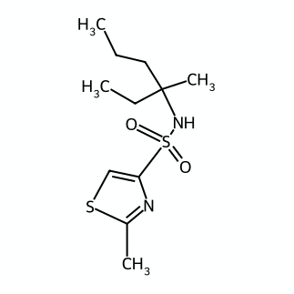 CCCC(C)(CC)NS(=O)(=O)c1csc(C)n1